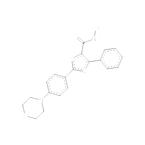 O=C(NO)c1sc(-c2ccc(N3CCOCC3)cc2)nc1-c1ccccc1